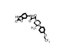 C[C@@H]1CN(C(=O)C(=O)Nc2ccc3[nH]c(=O)oc3c2)CCN1c1ccc(OCC(F)(F)F)cc1